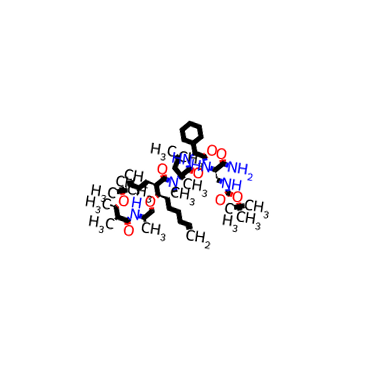 C=CCCCC[C@@H](OC[C@@H](C)NC(=O)[C@@H](C)[C@H](C)OC(C)(C)C)[C@@H](CCC=C)C(=O)N(C)C(C)(CC(C)C)C(=O)N[C@H](C(=O)N[C@@H](CNC(=O)OC(C)(C)C)C(N)=O)C1CCCCC1